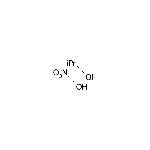 CC(C)O.O=[N+]([O-])O